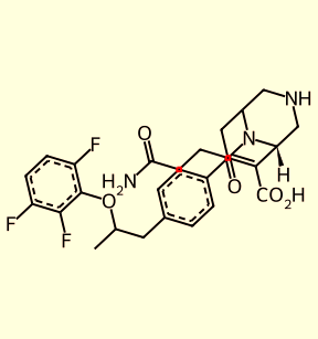 CC(Cc1ccc(C2=C(C(=O)O)[C@H]3CNCC(C2)N3C(=O)CCC(N)=O)cc1)Oc1c(F)ccc(F)c1F